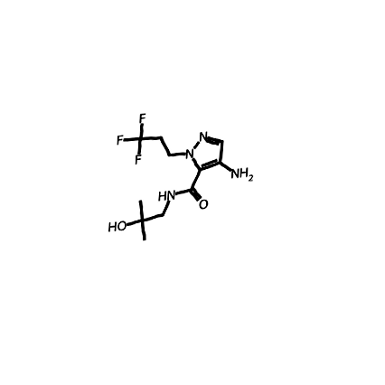 CC(C)(O)CNC(=O)c1c(N)cnn1CCC(F)(F)F